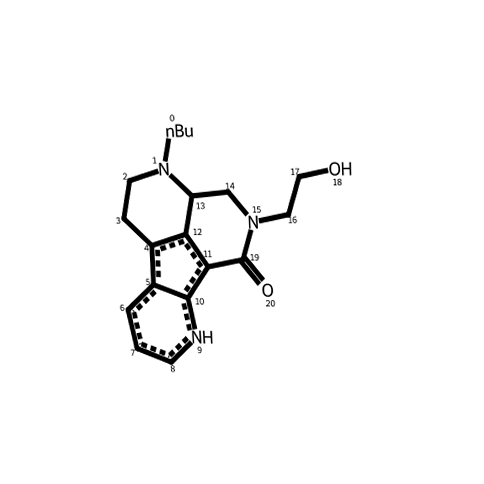 CCCCN1CCc2c3ccc[nH]c-3c3c2C1CN(CCO)C3=O